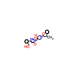 CC(CC(=O)N1CCC(O)(Cn2cnc(-c3ccccc3CO)cc2=O)CC1)c1ccccc1